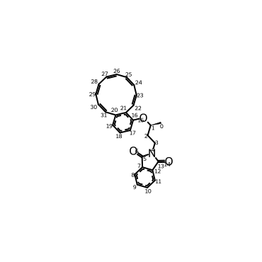 C[C@@H](CCN1C(=O)c2ccccc2C1=O)Oc1cccc2c1\C=C/C=C\C=C/C=C\C=C/2